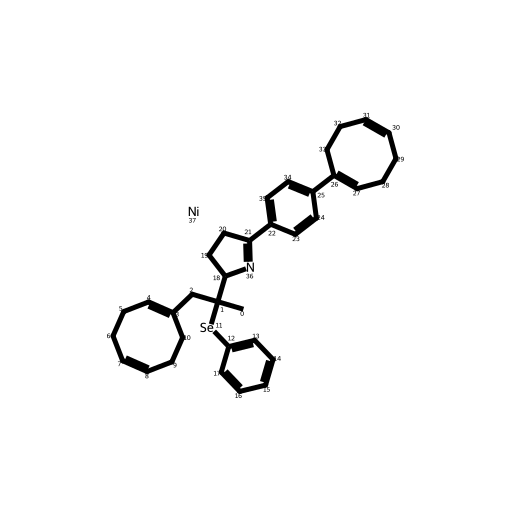 CC(CC1=CCCC=CCC1)([Se]c1ccccc1)C1CCC(c2ccc(C3=CCCC=CCC3)cc2)=N1.[Ni]